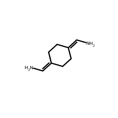 NC=C1CCC(=CN)CC1